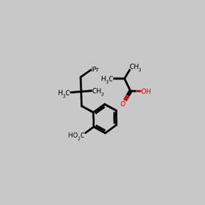 CC(C)C(=O)O.CC(C)CC(C)(C)Cc1ccccc1C(=O)O